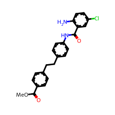 COC(=O)c1ccc(CCc2ccc(NC(=O)c3cc(Cl)ccc3N)cc2)cc1